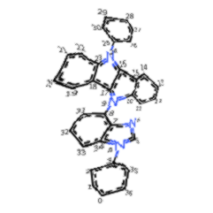 c1ccc(-n2cnc3c(-n4c5ccccc5c5c4c4ccccc4n5-c4ccccc4)cccc32)cc1